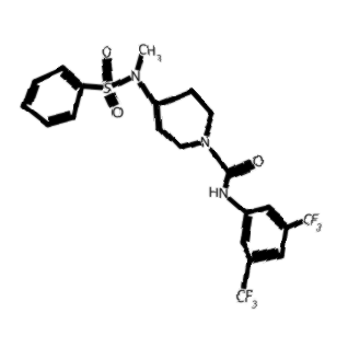 CN(C1CCN(C(=O)Nc2cc(C(F)(F)F)cc(C(F)(F)F)c2)CC1)S(=O)(=O)c1ccccc1